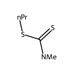 [CH2]NC(=S)SCCC